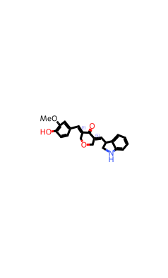 COc1cc(/C=C2\COC/C(=C\C3CNc4ccccc43)C2=O)ccc1O